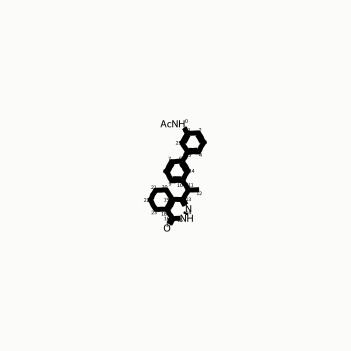 CC(=O)Nc1cccc(-c2cccc(C(C)c3n[nH]c(=O)c4c3CCCC4)c2)c1